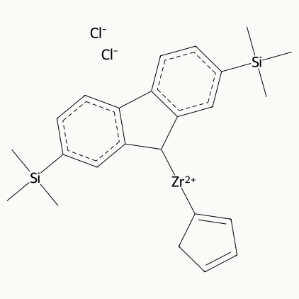 C[Si](C)(C)c1ccc2c(c1)[CH]([Zr+2][C]1=CC=CC1)c1cc([Si](C)(C)C)ccc1-2.[Cl-].[Cl-]